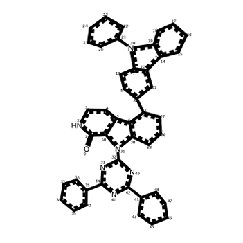 O=c1[nH]ccc2c3c(-c4ccc5c(c4)c4ccccc4n5-c4ccccc4)cccc3n(-c3nc(-c4ccccc4)nc(-c4ccccc4)n3)c12